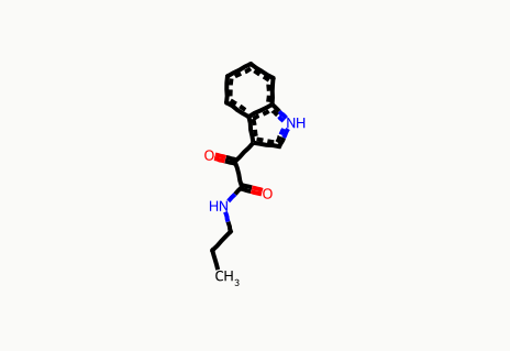 CCCNC(=O)C(=O)c1c[nH]c2ccccc12